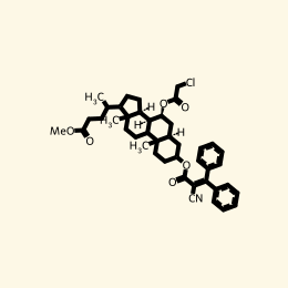 COC(=O)CCC(C)C1CC[C@H]2[C@@H]3C(CCC12C)C1(C)CCC(OC(=O)C(C#N)=C(c2ccccc2)c2ccccc2)C[C@@H]1C[C@@H]3OC(=O)CCl